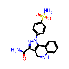 NC(=O)c1nn(-c2ccc(S(N)(=O)=O)cc2)c2c1CNc1ccccc1-2